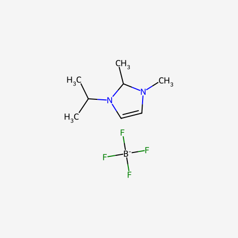 CC(C)N1C=CN(C)C1C.F[B-](F)(F)F